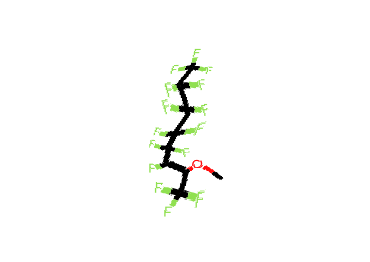 COC(=C(F)C(F)(F)C(F)(F)C(F)(F)C(F)(F)C(F)(F)F)C(F)(F)F